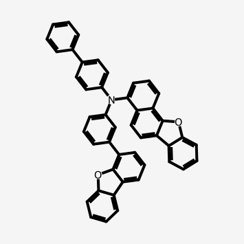 c1ccc(-c2ccc(N(c3cccc(-c4cccc5c4oc4ccccc45)c3)c3cccc4c3ccc3c5ccccc5oc43)cc2)cc1